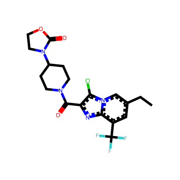 CCc1cc(C(F)(F)F)c2nc(C(=O)N3CCC(N4CCOC4=O)CC3)c(Cl)n2c1